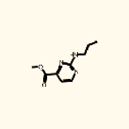 CCCNc1nccc(C(=O)OC)n1